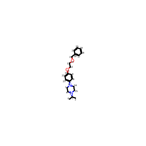 CC(C)N1CCN(c2ccc(OCCOCc3ccccc3)cc2)CC1